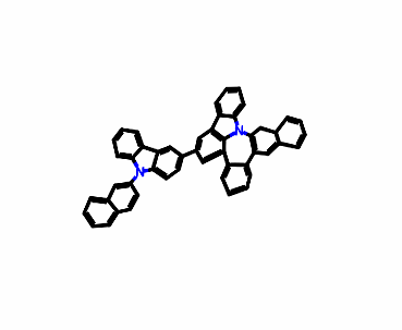 C1=CC2=CC3=C(CC2C=C1)n1c2ccccc2c2cc(-c4ccc5c(c4)c4ccccc4n5-c4ccc5ccccc5c4)cc(c21)-c1ccccc13